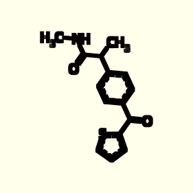 CNC(=O)C(C)c1ccc(C(=O)c2cccs2)cc1